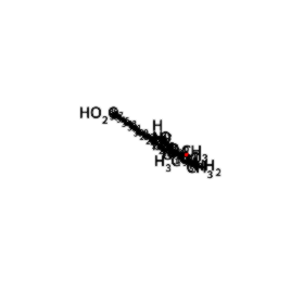 Cc1cc(N(C)C(N)=O)cc(C)c1C=CS(=O)(=O)N1CCC2(CC1)N=C(CCCCCCCCCCCCCC(=O)O)NC2=O